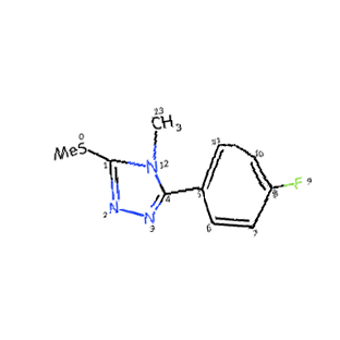 CSc1nnc(-c2ccc(F)cc2)n1C